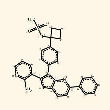 CS(=O)(=O)NC1(c2ccc(-n3c(-c4cccnc4N)nc4ccc(-c5ccccc5)nc43)cc2)CCC1